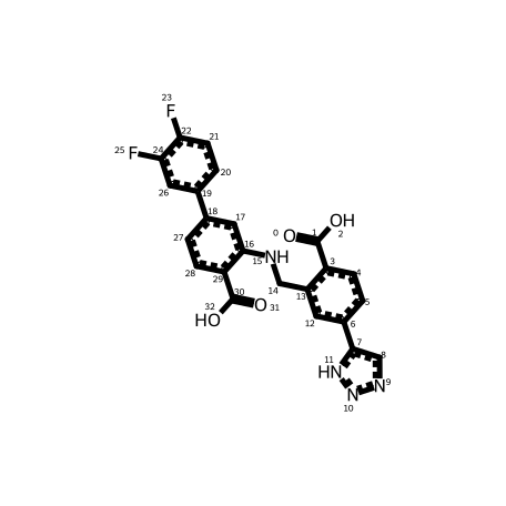 O=C(O)c1ccc(-c2cnn[nH]2)cc1CNc1cc(-c2ccc(F)c(F)c2)ccc1C(=O)O